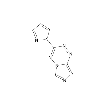 c1cnn(-c2nnc3nncn3n2)c1